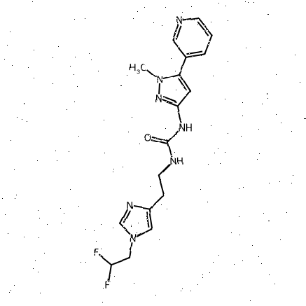 Cn1nc(NC(=O)NCCc2cn(CC(F)F)cn2)cc1-c1cccnc1